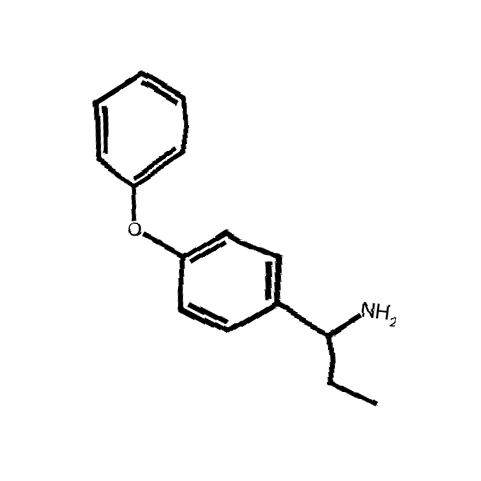 CCC(N)c1ccc(Oc2ccccc2)cc1